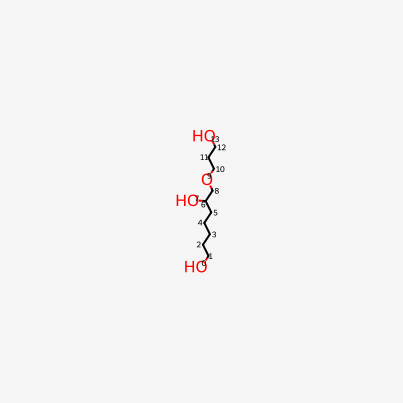 OCCCCCC(O)COCCCO